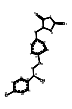 O=C1CC(=O)C(Cc2ccc(OC[C@@H](O)c3ccc(Cl)cc3)cc2)S1